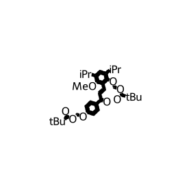 COc1c(C(C)C)cc(C(C)C)c(OCOC(=O)C(C)(C)C)c1C=CC(=O)c1ccc(OCOC(=O)C(C)(C)C)cc1